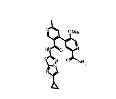 COc1cnc(C(N)=O)cc1-c1cc(C)ncc1C(=O)Nc1nn2cc(C3CC3)nc2s1